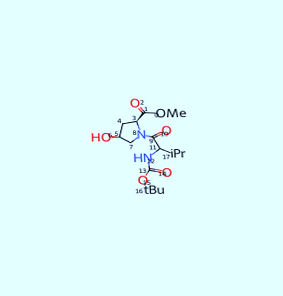 COC(=O)[C@@H]1C[C@H](O)CN1C(=O)C(NC(=O)OC(C)(C)C)C(C)C